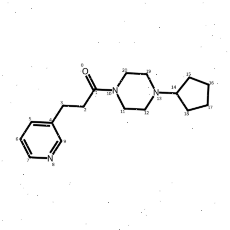 O=C(CCc1cccnc1)N1CCN(C2CCCC2)CC1